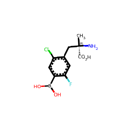 C[C@@](N)(Cc1cc(F)c(B(O)O)cc1Cl)C(=O)O